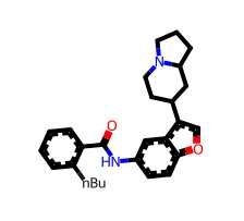 CCCCc1ccccc1C(=O)Nc1ccc2occ(C3CCN4CCCC4C3)c2c1